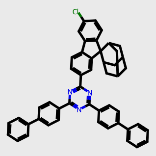 Clc1ccc2c(c1)-c1ccc(-c3nc(-c4ccc(-c5ccccc5)cc4)nc(-c4ccc(-c5ccccc5)cc4)n3)cc1C21C2CC3CC(C2)CC1C3